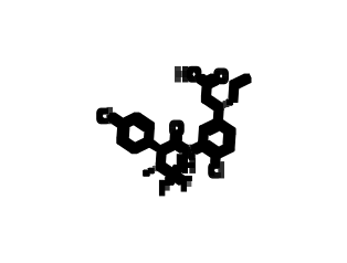 CCC[C@@H](CC(=O)O)c1ccc(Cl)c(NC(=O)[C@H](C2C=CC(Cl)=CC2)[C@@H](C)C(F)(F)F)c1